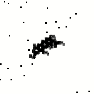 CC(=O)Oc1c(C)cc2c(c1C)Cc1c(cc(C)c(OC(C)=O)c1C)C2